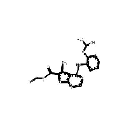 Cc1c(C(=O)NCN)sc2ncnc(Nc3cccnc3OC(C)C)c12